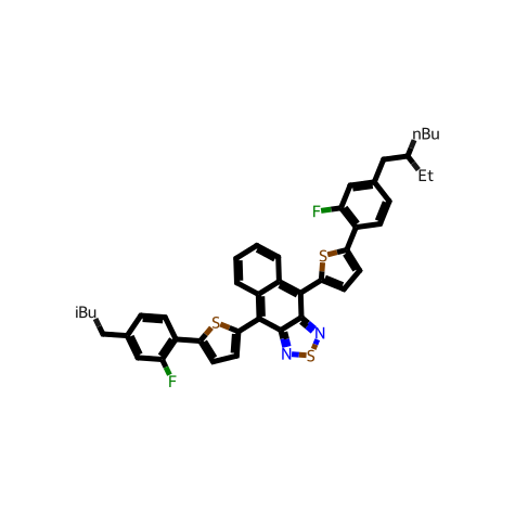 CCCCC(CC)Cc1ccc(-c2ccc(-c3c4ccccc4c(-c4ccc(-c5ccc(CC(C)CC)cc5F)s4)c4nsnc34)s2)c(F)c1